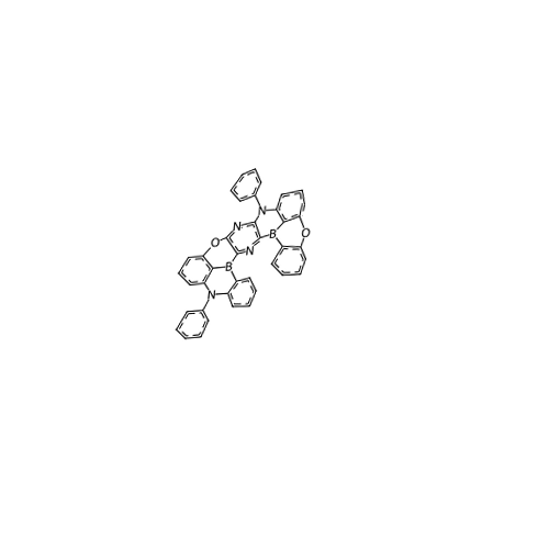 c1ccc(N2c3ccccc3B3c4nc5c(nc4Oc4cccc2c43)N(c2ccccc2)c2cccc3c2B5c2ccccc2O3)cc1